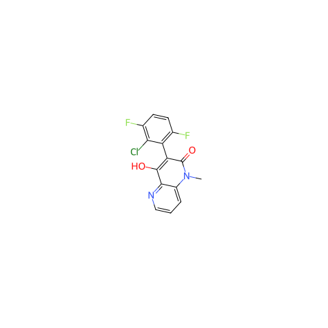 Cn1c(=O)c(-c2c(F)ccc(F)c2Cl)c(O)c2ncccc21